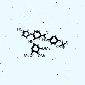 COc1cc(Nc2cc(C(=O)Nc3ccc(OC(F)(F)Cl)cc3)cnc2N2CC[C@@H](O)C2)cc(OC)c1OC